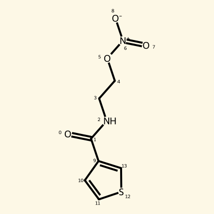 O=C(NCCO[N+](=O)[O-])c1ccsc1